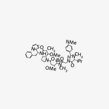 CCC(C)C(C(CC(=O)N1CCC[C@H]1C(OC)[C@@H](C)C(=O)N[C@@H](Cc1ccccc1)c1nccs1)OC)N(C)C(=O)CNC(=O)C(C(C)C)N(C)Cc1ccc(NC)cc1